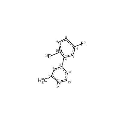 Cc1[c]c(-c2cc(F)ccc2F)ccn1